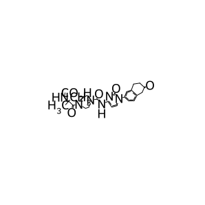 CC(C)(NC(=O)O)C(=O)N1CCN(C(=O)Nc2ccn(-c3ccc4c(c3)CCC(=O)C4)c(=O)n2)CC1